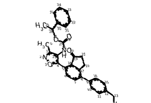 Cc1noc(-c2ccc(-c3ccc(CC(=O)O)cc3)c3c2C(=O)CC3)c1NC(=O)OC(C)c1ccccc1